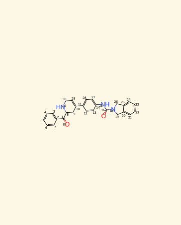 O=C(c1ccccc1)C1CC(c2ccc(NC(=O)N3Cc4ccccc4C3)cc2)=CCN1